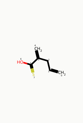 C=CCC(=C)C(O)=S